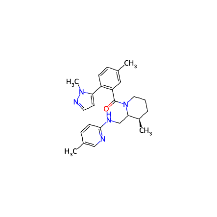 Cc1ccc(NCC2[C@H](C)CCCN2C(=O)c2cc(C)ccc2-c2ccnn2C)nc1